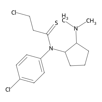 CN(C)C1CCCC1N(C(=S)CCCl)c1ccc(Cl)cc1